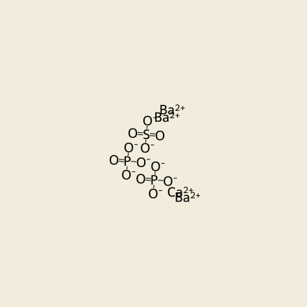 O=P([O-])([O-])[O-].O=P([O-])([O-])[O-].O=S(=O)([O-])[O-].[Ba+2].[Ba+2].[Ba+2].[Ca+2]